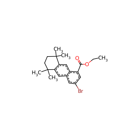 CCOC(=O)c1cc(Br)cc2cc3c(cc12)C(C)(C)CCC3(C)C